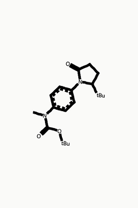 CN(C(=O)OC(C)(C)C)c1ccc(N2C(=O)CCC2C(C)(C)C)cc1